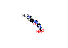 CN1CCc2ccc(N3CCN(C4CCN(CCC(=O)O)CC4)C3=O)cc2CC1